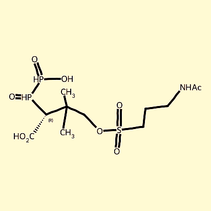 CC(=O)NCCCS(=O)(=O)OCC(C)(C)[C@H](C(=O)O)[PH](=O)[PH](=O)O